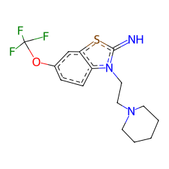 N=c1sc2cc(OC(F)(F)F)ccc2n1CCN1CCCCC1